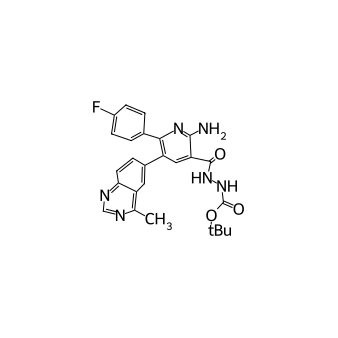 Cc1ncnc2ccc(-c3cc(C(=O)NNC(=O)OC(C)(C)C)c(N)nc3-c3ccc(F)cc3)cc12